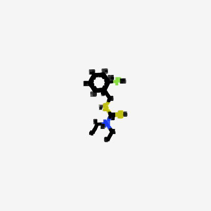 CCN(CC)C(=S)SCc1ccccc1F